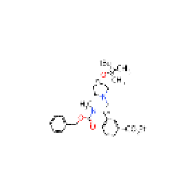 CCOC(=O)c1cccc([C@@H](CN2CC[C@H](O[Si](C)(C)C(C)(C)C)C2)N(C)C(=O)OCc2ccccc2)c1